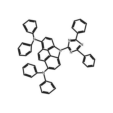 c1ccc(-c2nc(-c3ccccc3)nc(-n3c4ccc(N(c5ccccc5)c5ccccc5)c5ccc6c(N(c7ccccc7)c7ccccc7)ccc3c6c54)n2)cc1